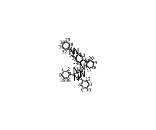 c1ccc(-c2nc(-c3ccccc3)nc(-n3c4ccccc4c4cc5nn(-c6ccccc6)cc5cc43)n2)cc1